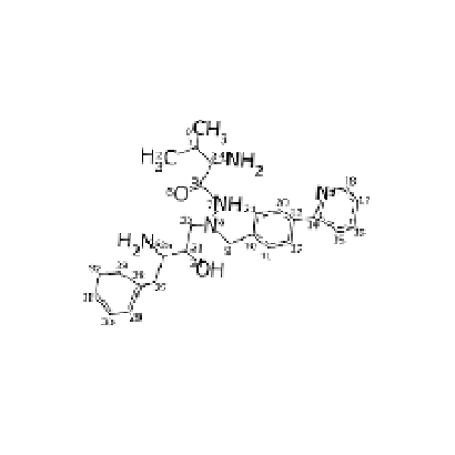 CC(C)C(N)C(=O)NN(Cc1ccc(-c2ccccn2)cc1)CC(O)C(N)CC1=CC=CCC1